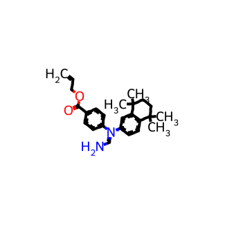 C=CCOC(=O)c1ccc([N+](=CN)c2ccc3c(c2)C(C)(C)CCC3(C)C)cc1